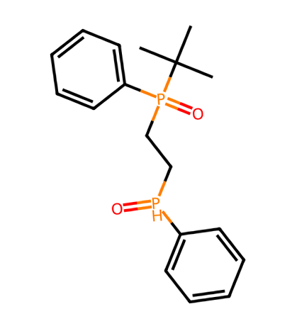 CC(C)(C)P(=O)(CC[PH](=O)c1ccccc1)c1ccccc1